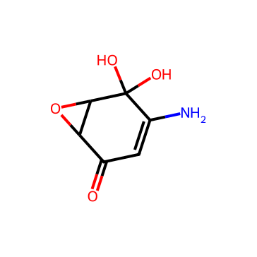 NC1=CC(=O)C2OC2C1(O)O